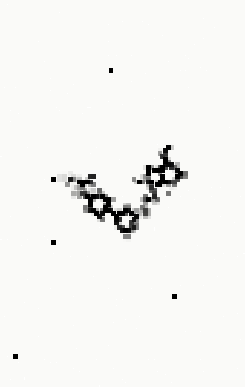 COc1ccc(F)c2c1cc(C)n2CCNc1cc(-c2ccc(NC(N)=O)cc2)ncn1